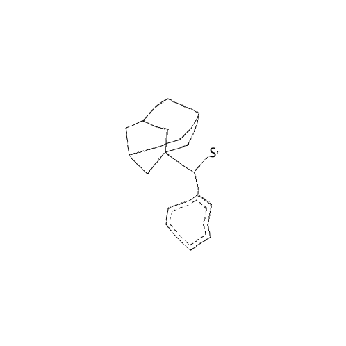 [S]C(c1ccccc1)C12CC3CC(CC(C3)C1)C2